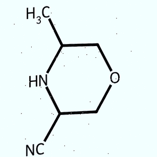 CC1COCC(C#N)N1